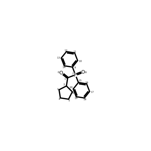 O=C(C1CCCC1)P(=O)(c1ccccc1)c1ccccc1